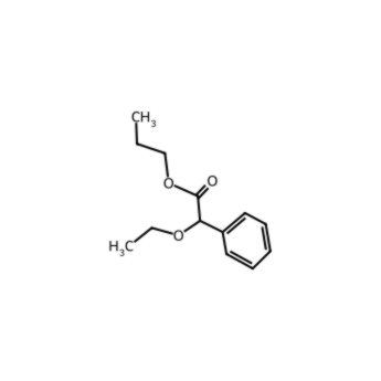 CCCOC(=O)C(OCC)c1ccccc1